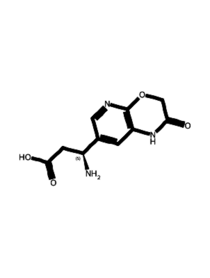 N[C@@H](CC(=O)O)c1cnc2c(c1)NC(=O)CO2